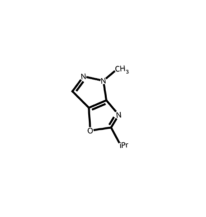 CC(C)c1nc2c(cnn2C)o1